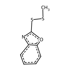 CSSc1nc2ccccc2o1